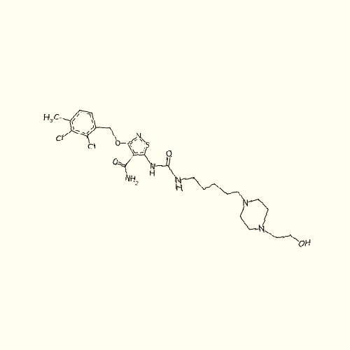 Cc1ccc(COc2nsc(NC(=O)NCCCCCN3CCN(CCO)CC3)c2C(N)=O)c(Cl)c1Cl